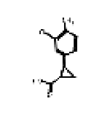 Cc1ccc(C2C[C@H]2C(=O)O)cc1Cl